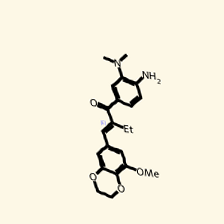 CC/C(=C\c1cc(OC)c2c(c1)OCCO2)C(=O)c1ccc(N)c(N(C)C)c1